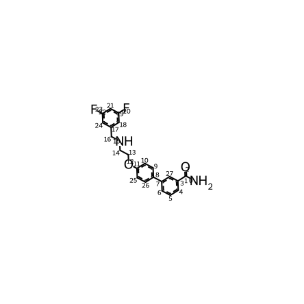 NC(=O)c1cccc(-c2ccc(OCCNCc3cc(F)cc(F)c3)cc2)c1